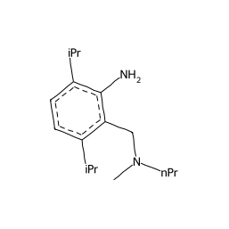 CCCN(C)Cc1c(C(C)C)ccc(C(C)C)c1N